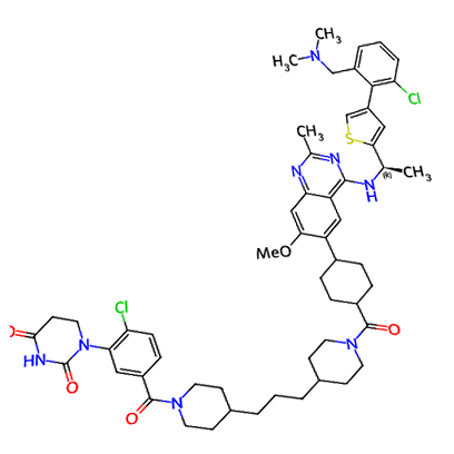 COc1cc2nc(C)nc(N[C@H](C)c3cc(-c4c(Cl)cccc4CN(C)C)cs3)c2cc1C1CCC(C(=O)N2CCC(CCCC3CCN(C(=O)c4ccc(Cl)c(N5CCC(=O)NC5=O)c4)CC3)CC2)CC1